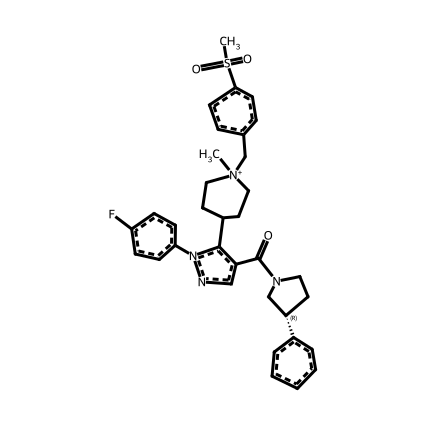 C[N+]1(Cc2ccc(S(C)(=O)=O)cc2)CCC(c2c(C(=O)N3CC[C@H](c4ccccc4)C3)cnn2-c2ccc(F)cc2)CC1